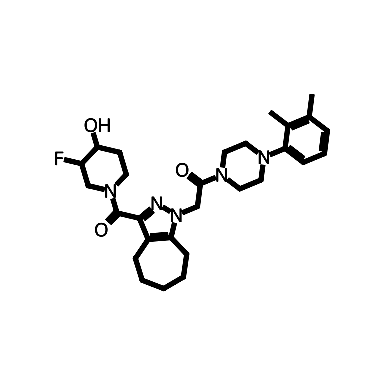 Cc1cccc(N2CCN(C(=O)Cn3nc(C(=O)N4CCC(O)C(F)C4)c4c3CCCCC4)CC2)c1C